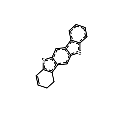 C1=Cc2sc3cc4c(cc3c2CC1)sc1ccccc14